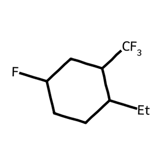 CCC1CCC(F)CC1C(F)(F)F